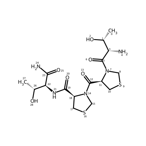 C[C@@H](O)[C@H](N)C(=O)N1CSC[C@H]1C(=O)N1CSC[C@H]1C(=O)N[C@H](C(N)=O)[C@@H](C)O